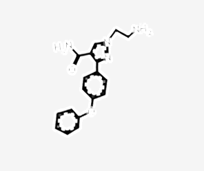 NCCn1cc(C(N)=O)c(-c2ccc(Oc3ccccc3)cc2)n1